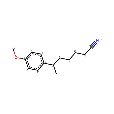 COc1ccc(C(C)CCCCC#N)cc1